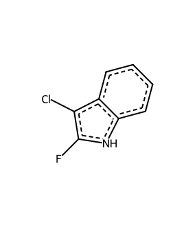 Fc1[nH]c2ccccc2c1Cl